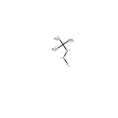 CC(C)(C)SSF